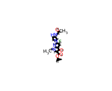 CCn1cc(C(=O)OC2CC2)c(=O)c2cc(F)c(N3CCC(NCC(C)=O)C3)nc21